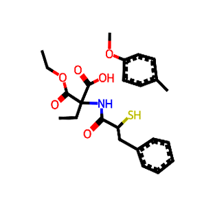 CCOC(=O)C(CC)(NC(=O)C(S)Cc1ccccc1)C(=O)O.COc1ccc(C)cc1